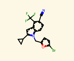 N#Cc1ccc2c(cc(C3CC3)n2Cc2ccc(Br)o2)c1C(F)(F)F